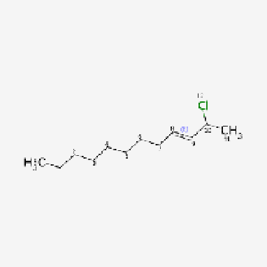 CCCCCCCC/C=C/C(C)Cl